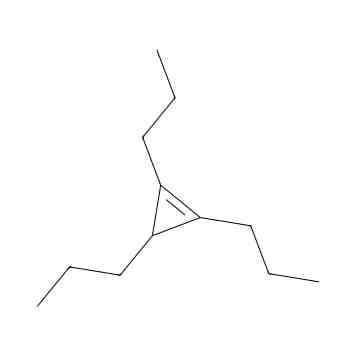 CCCC1=C(CCC)C1CCC